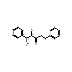 O=C(OCc1ccccc1)C(O)C(O)c1ccccc1